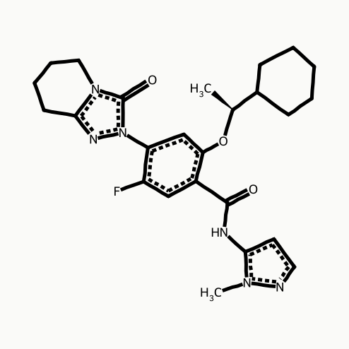 C[C@H](Oc1cc(-n2nc3n(c2=O)CCCC3)c(F)cc1C(=O)Nc1ccnn1C)C1CCCCC1